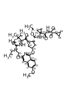 C=C[C@@H]1C[C@]1(NC(=O)[C@@H]1CC(Oc2nccc3cc(OC)ccc23)CN1C(=O)[C@@H](NC(=O)N(CC)CC)C(C)(C)C)C(=O)NS(=O)(=O)C1CC1